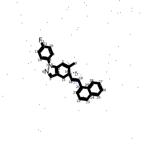 CC1=Cc2c(cnn2-c2ccc(F)cc2)C[C@]1(C)/C=C/c1cccc2ccccc12